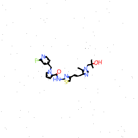 Cc1c(C=Cc2csc(NC(=O)c3cccn3Cc3ccnc(F)c3)n2)ncn1CC(C)(C)O